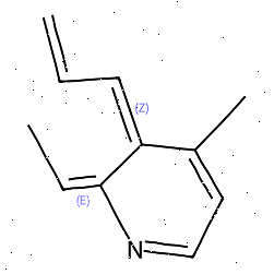 C=C/C=c1/c(C)ccn/c1=C/C